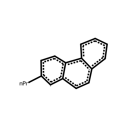 CCCc1[c]c2ccc3ccccc3c2cc1